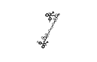 O=C1CC(OC(=O)OCCOCCOCCOCCOC(=O)OC2CC(=O)OC(/C=C/c3c(C4CC4)nc4ccccc4c3-c3ccc(F)cc3)C2)CC(/C=C/c2c(C3CC3)nc3ccccc3c2-c2ccc(F)cc2)O1